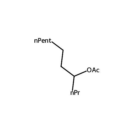 CCCCCCCC(CCC)OC(C)=O